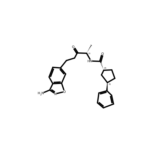 C[C@H](NC(=O)[C@@H]1CC[C@@H](c2ccccc2)C1)C(=O)CCc1ccc2c(N)noc2c1